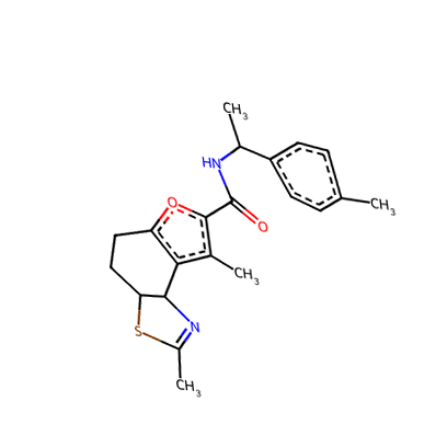 CC1=NC2c3c(oc(C(=O)NC(C)c4ccc(C)cc4)c3C)CCC2S1